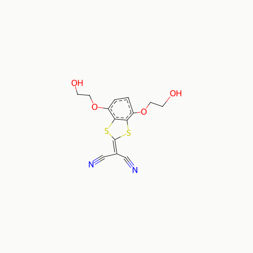 N#CC(C#N)=C1Sc2c(OCCO)ccc(OCCO)c2S1